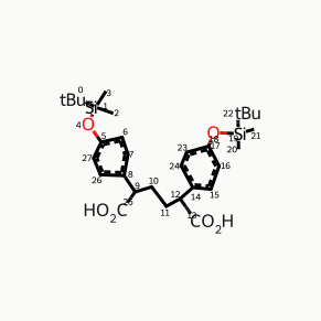 CC(C)(C)[Si](C)(C)Oc1ccc(C(CCC(C(=O)O)c2ccc(O[Si](C)(C)C(C)(C)C)cc2)C(=O)O)cc1